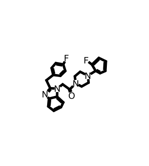 O=C(Cn1c(Cc2ccc(F)cc2)nc2ccccc21)N1CCN(c2ccccc2F)CC1